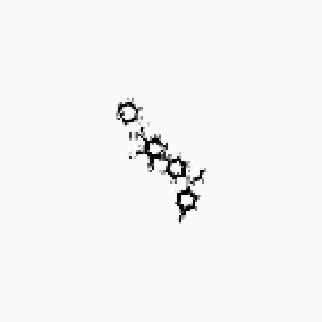 CCN(c1ccc(F)cc1)c1ccc(-n2ncc(NC[C@H]3CCCOC3)c(Cl)c2=O)cc1